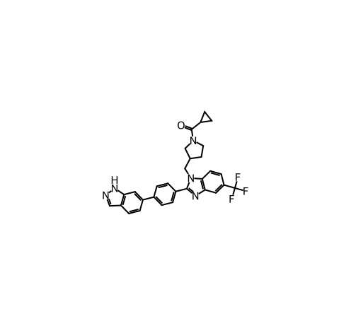 O=C(C1CC1)N1CCC(Cn2c(-c3ccc(-c4ccc5cn[nH]c5c4)cc3)nc3cc(C(F)(F)F)ccc32)C1